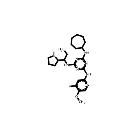 CCC(Nc1nc(Nc2cc(F)c(OC)cn2)nc(NC2CCCCCC2)n1)C1CCCN1